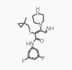 CC1(CS/C(C(=O)Nc2cc(F)cc(F)c2)=C(/C=N)N2CCNCC2)CC1